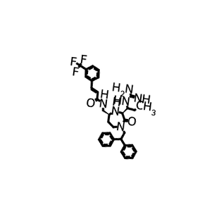 CCC(NC(=N)N)[C@@H]1N[C@H](CNC(=O)/C=C/c2cccc(C(F)(F)F)c2)CCN(CC(c2ccccc2)c2ccccc2)C1=O